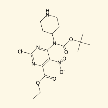 CCOC(=O)c1nc(Cl)nc(N(C(=O)OC(C)(C)C)C2CCNCC2)c1[N+](=O)[O-]